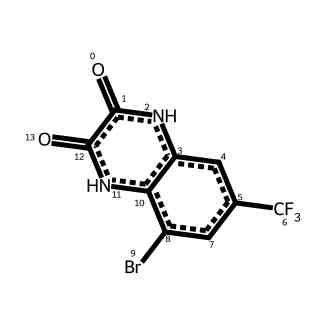 O=c1[nH]c2cc(C(F)(F)F)cc(Br)c2[nH]c1=O